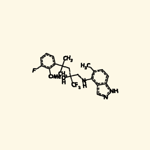 COc1c(F)cccc1C(C)(C)CC(O)(CNc1c(C)ccc2[nH]ncc12)C(F)(F)F